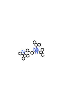 c1cc(-c2cccc(-c3nc4ccccc4c4c5ccccc5c5ccccc5c34)c2)cc(-c2nc(-c3cc4ccccc4c4ccccc34)nc(-c3cc4ccccc4c4ccccc34)n2)c1